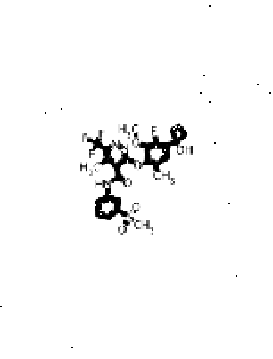 COc1c(F)c(C2(O)CCC2)cc(C)c1Oc1nnc(C(F)(F)F)c(C)c1C(=O)Nc1cccc(S(C)(=O)=O)c1